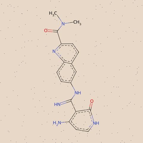 CN(C)C(=O)c1ccc2cc(NC(=N)c3c(N)cc[nH]c3=O)ccc2n1